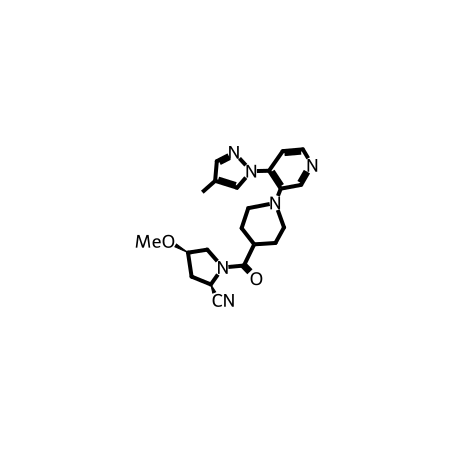 CO[C@@H]1C[C@H](C#N)N(C(=O)C2CCN(c3cnccc3-n3cc(C)cn3)CC2)C1